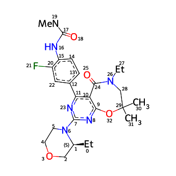 CC[C@H]1COCCN1c1nc2c(c(-c3ccc(NC(=O)NC)c(F)c3)n1)C(=O)N(CC)CC(C)(C)O2